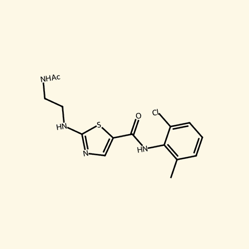 CC(=O)NCCNc1ncc(C(=O)Nc2c(C)cccc2Cl)s1